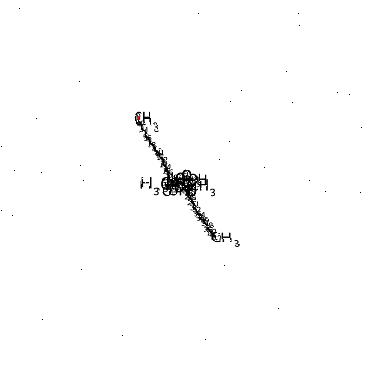 CCCCCCCCCCCCCCCCCCn1cc(Oc2cn(CCCCCCCCCCCCCCCCCC)c(C(C)=O)c(O)c2=O)c(=O)c(O)c1C(C)=O